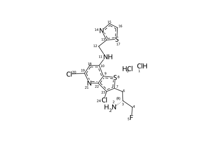 Cl.Cl.N[C@@H](CF)Cc1sc2c(NCc3nccs3)cc(Cl)nc2c1Cl